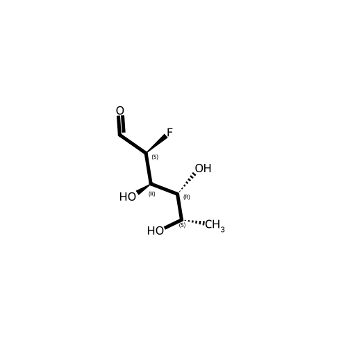 C[C@H](O)[C@@H](O)[C@@H](O)[C@H](F)C=O